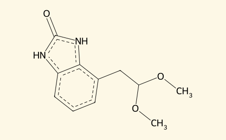 COC(Cc1cccc2[nH]c(=O)[nH]c12)OC